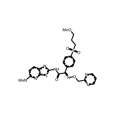 CNc1ccc2nc(NC(=O)/C(=N/OCc3ncccn3)c3ccc(S(=O)(=O)CCCOC)cc3)sc2n1